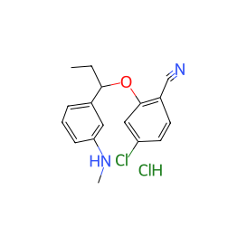 CCC(Oc1cc(Cl)ccc1C#N)c1cccc(NC)c1.Cl